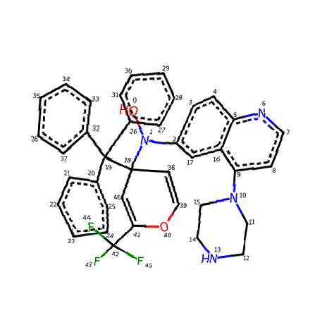 ON(c1ccc2nccc(N3CCNCC3)c2c1)C1(C(c2ccccc2)(c2ccccc2)c2ccccc2)C=COC(C(F)(F)F)=C1